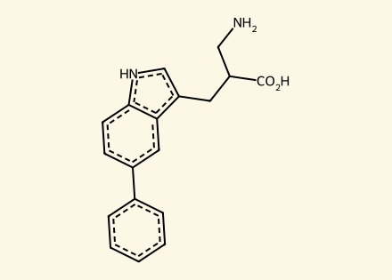 NCC(Cc1c[nH]c2ccc(-c3ccccc3)cc12)C(=O)O